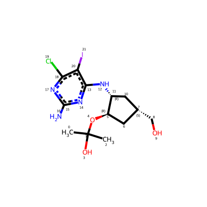 CC(C)(O)O[C@@H]1C[C@@H](CO)C[C@H]1Nc1nc(N)nc(Cl)c1I